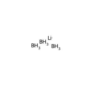 B.B.B.[Li]